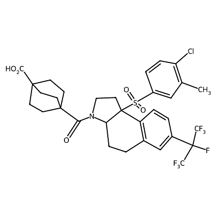 Cc1cc(S(=O)(=O)C23CCN(C(=O)C45CCC(C(=O)O)(CC4)CC5)C2CCc2cc(C(F)(C(F)(F)F)C(F)(F)F)ccc23)ccc1Cl